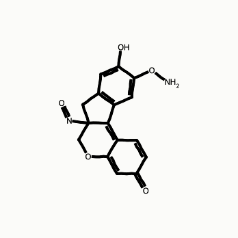 NOc1cc2c(cc1O)CC1(N=O)COC3=CC(=O)C=CC3=C21